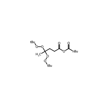 CCCCC(=O)OC(=O)CCC(C)(OOC(C)(C)C)OOC(C)(C)C